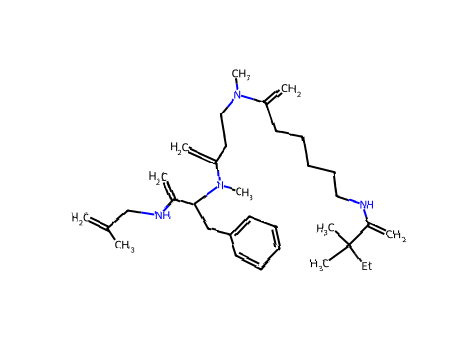 C=C(C)CNC(=C)C(Cc1ccccc1)N(C)C(=C)CCN(C)C(=C)CCCCCNC(=C)C(C)(C)CC